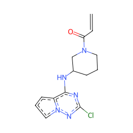 C=CC(=O)N1CCCC(Nc2nc(Cl)nn3cccc23)C1